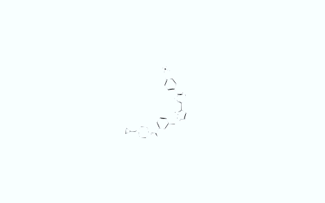 Cc1cc(-c2nc(-c3ccc(OC(F)(F)F)cc3)no2)nn1Cc1cccc(C(=O)N2CCN(C3CC3)CC2)c1